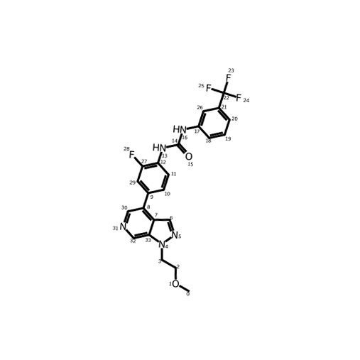 COCCn1ncc2c(-c3ccc(NC(=O)Nc4cccc(C(F)(F)F)c4)c(F)c3)cncc21